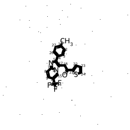 Cc1ccc(-c2nc3ccc(C(F)(F)F)cn3c2CC(=O)c2cccs2)cc1